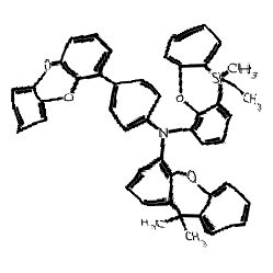 CC1(C)c2ccccc2Oc2c(N(c3ccc(-c4cccc5c4Oc4ccccc4O5)cc3)c3cccc4c3Oc3ccccc3[Si]4(C)C)cccc21